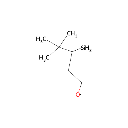 CC(C)(C)C([SiH3])CC[O]